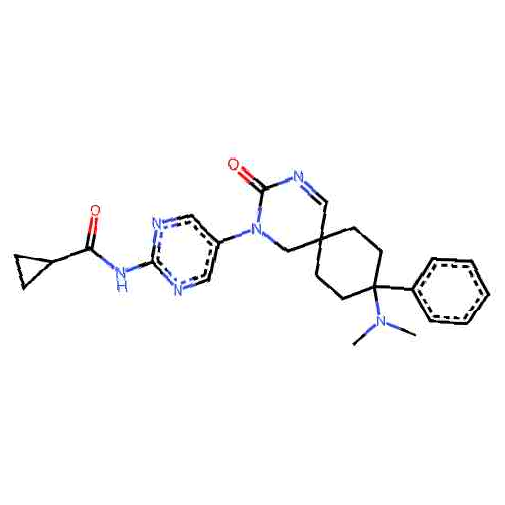 CN(C)C1(c2ccccc2)CCC2(C=NC(=O)N(c3cnc(NC(=O)C4CC4)nc3)C2)CC1